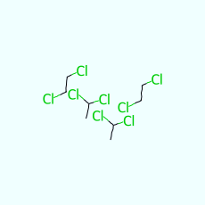 CC(Cl)Cl.CC(Cl)Cl.ClCCCl.ClCCCl